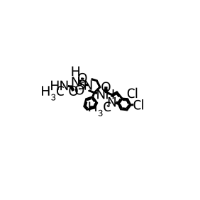 CNC(=O)NS(=O)(=O)N1CCCC(NC(=O)c2cc3c(Cl)c(Cl)ccc3n2C)(c2ccccc2)C1